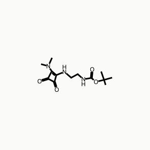 CN(C)c1c(NCCNC(=O)OC(C)(C)C)c(=O)c1=O